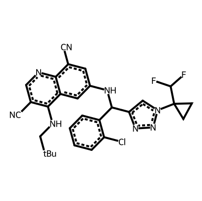 CC(C)(C)CNc1c(C#N)cnc2c(C#N)cc(NC(c3cn(C4(C(F)F)CC4)nn3)c3ccccc3Cl)cc12